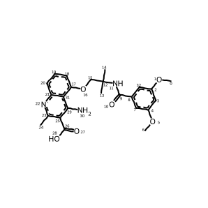 COc1cc(OC)cc(C(=O)NC(C)(C)COc2cccc3nc(C)c(C(=O)O)c(N)c23)c1